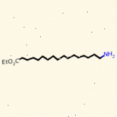 CCOC(=O)CCCCCCCCCCCCCCCCN